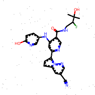 CC(C)(O)C(F)CNC(=O)c1cnc(-c2ccc3cc(C#N)cnn23)cc1Nc1ccc(O)nc1